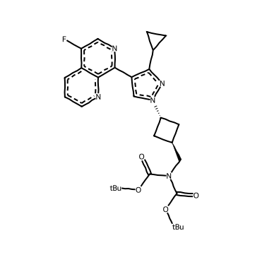 CC(C)(C)OC(=O)N(C[C@H]1C[C@H](n2cc(-c3ncc(F)c4cccnc34)c(C3CC3)n2)C1)C(=O)OC(C)(C)C